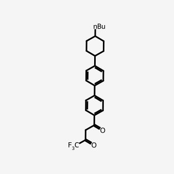 CCCCC1CCC(c2ccc(-c3ccc(C(=O)CC(=O)C(F)(F)F)cc3)cc2)CC1